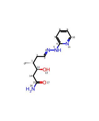 C[C@H](C/C=N/Nc1ccccn1)[C@@H](O)CC(N)=O